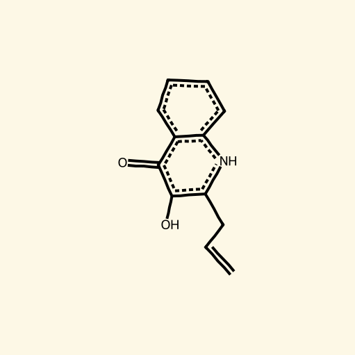 C=CCc1[nH]c2ccccc2c(=O)c1O